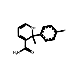 CC1(c2ccc(F)cc2)NC=CC=C1C(N)=O